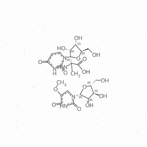 CC(N)(C(=O)O)[C@@]1(n2ccc(=O)[nH]c2=O)O[C@H](CO)[C@@H](O)[C@H]1O.COc1cn([C@@H]2O[C@H](CO)[C@@H](O)[C@H]2O)c(=O)[nH]c1=O